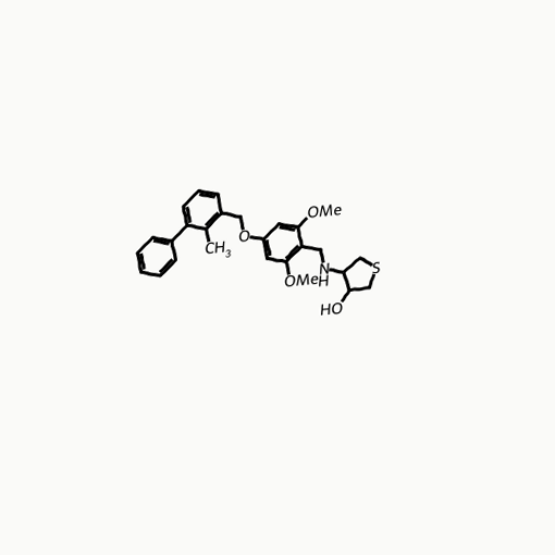 COc1cc(OCc2cccc(-c3ccccc3)c2C)cc(OC)c1CNC1CSCC1O